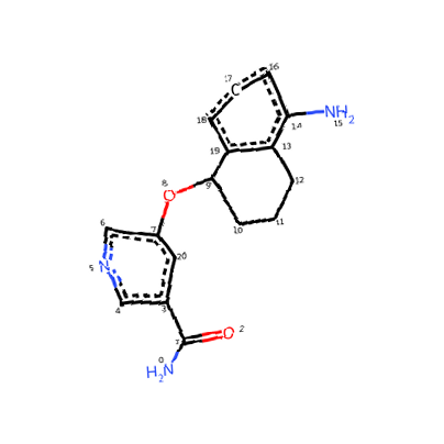 NC(=O)c1cncc(OC2CCCc3c(N)cccc32)c1